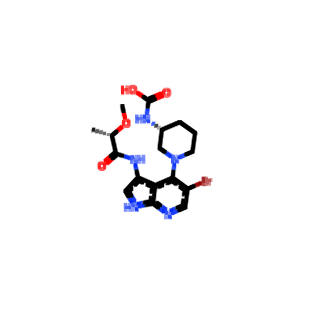 CO[C@@H](C)C(=O)Nc1c[nH]c2ncc(Br)c(N3CCC[C@@H](NC(=O)O)C3)c12